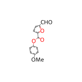 COc1ccc(OC(=O)c2ccc(C=O)o2)cc1